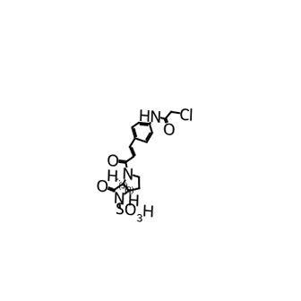 O=C(CCl)Nc1ccc(C=CC(=O)N2CC[C@@H]3[C@H]2C(=O)N3S(=O)(=O)O)cc1